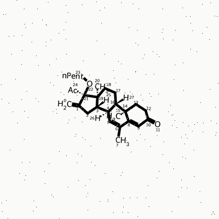 C=C1C[C@H]2[C@@H]3C=C(C)C4=CC(=O)CC[C@]4(C)[C@H]3CC[C@]2(C)[C@@]1(OCCCCC)C(C)=O